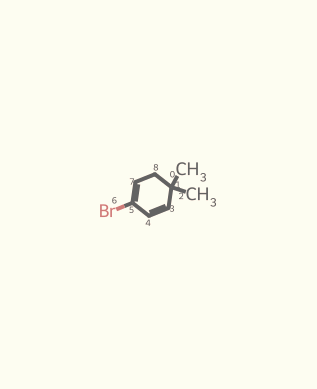 CC1(C)C=CC(Br)=CC1